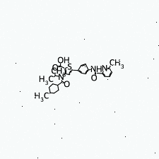 Cc1cccc(C(=O)Nc2ccc(-c3cc(N(C(=O)C4CCC(C)CC4)C(C)C)c(C(=O)O)s3)cc2)n1